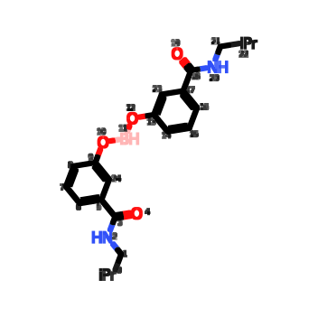 CC(C)CNC(=O)c1cccc(OBOc2cccc(C(=O)NCC(C)C)c2)c1